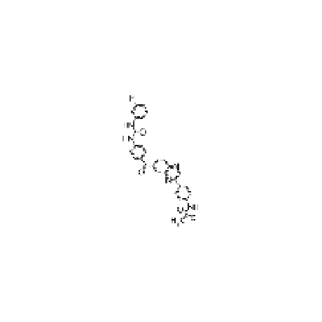 CS(=O)(=O)Nc1ccc(-c2cnc3ccc(C(=O)c4ccc(NC(=O)Nc5cccc(F)c5)cc4)cc3n2)cc1